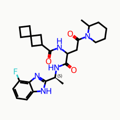 CC1CCCCN1C(=O)CC(NC(=O)C1CC2(CCC2)C1)C(=O)N[C@@H](C)c1nc2c(F)cccc2[nH]1